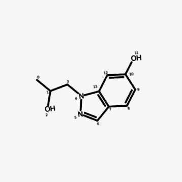 CC(O)Cn1ncc2ccc(O)cc21